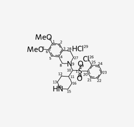 COc1cc2c(cc1OC)CN(C(C1CCNCC1)S(=O)(=O)c1ccccc1Cl)CC2.Cl